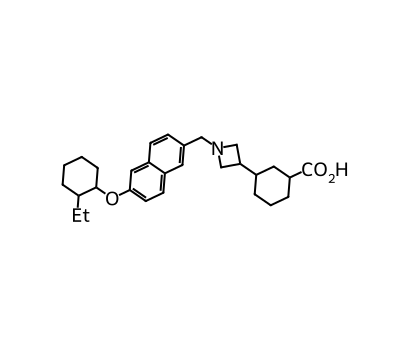 CCC1CCCCC1Oc1ccc2cc(CN3CC(C4CCCC(C(=O)O)C4)C3)ccc2c1